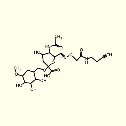 C#CCCNC(=O)CO/N=C/C1OC(OCC2CC(OC)C(O)C(O)C2O)(C(=O)O)CC(O)C1NC(C)=O